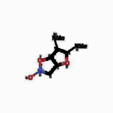 CNc1oc2c[n+]([O-])oc2c1NC